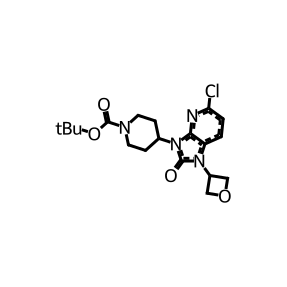 CC(C)(C)OC(=O)N1CCC(n2c(=O)n(C3COC3)c3ccc(Cl)nc32)CC1